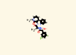 C[C@H](NC(=O)[C@@H](O)c1cc(F)cc(F)c1)C(=O)N[C@@H]1C(=O)N(C)CCC[C@H]1c1ccccc1